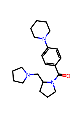 O=C(c1ccc(N2CCCCC2)cc1)N1CCCC1CN1CCCC1